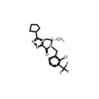 C[C@H]1Cn2c(nnc2C2CCCC2)C(=O)N1Cc1cccc(C(F)(F)F)c1Cl